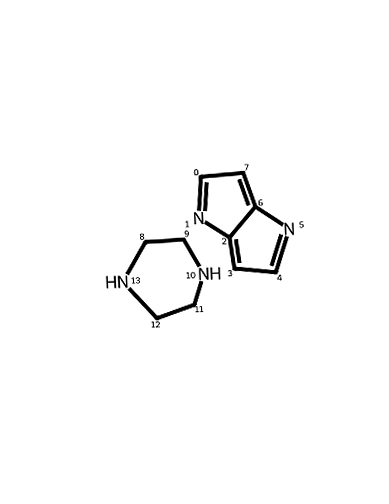 C1=NC2=CC=NC2=C1.C1CNCCN1